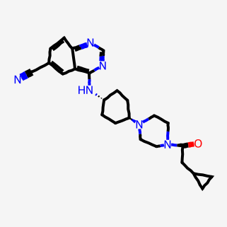 N#Cc1ccc2ncnc(N[C@H]3CC[C@H](N4CCN(C(=O)CC5CC5)CC4)CC3)c2c1